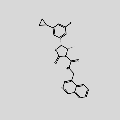 C[C@H]1[C@@H](c2cc(F)cc(C3CC3)c2)OC(=O)N1C(=O)NCc1cncc2ccccc12